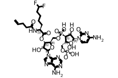 C=CCCC(=O)N[C@@H](CCCCC(F)F)C(=O)O[C@H]1[C@@H](O)[C@H](n2cnc3c(N)ncnc32)O[C@@H]1COP(=O)(O)[C@H]1[C@@H](O)[C@H](n2ccc(N)nc2=O)O[C@@H]1COP(=O)(O)O